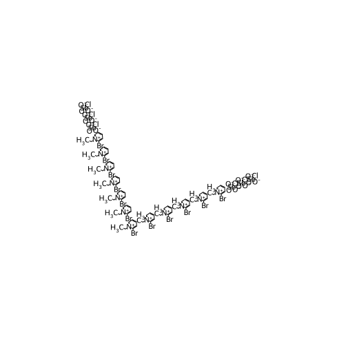 CC[n+]1ccccc1Br.CC[n+]1ccccc1Br.CC[n+]1ccccc1Br.CC[n+]1ccccc1Br.CC[n+]1ccccc1Br.CC[n+]1ccccc1Br.CC[n+]1ccccc1Br.CC[n+]1ccccc1Br.CC[n+]1ccccc1Br.CC[n+]1ccccc1Br.CC[n+]1ccccc1Br.CC[n+]1ccccc1Br.[O]=[Sb]([O-])([O-])[Cl].[O]=[Sb]([O-])([O-])[Cl].[O]=[Sb]([O-])([O-])[Cl].[O]=[Sb]([O-])([O-])[Cl].[O]=[Sb]([O-])([O-])[Cl].[O]=[Sb]([O-])([O-])[Cl]